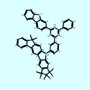 CC1(C)c2ccccc2-c2cc3c4cc5c(cc4n(-c4cccc(-c6nc(-c7ccccc7)nc(-c7ccc8c(c7)sc7ccccc78)n6)c4)c3cc21)C(C)(C)C(C)(C)C5(C)C